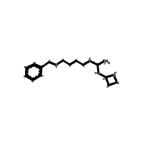 CC(OCCCCOCc1ccccc1)OC1CCO1